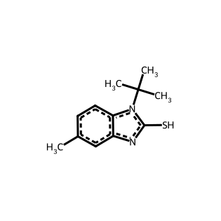 Cc1ccc2c(c1)nc(S)n2C(C)(C)C